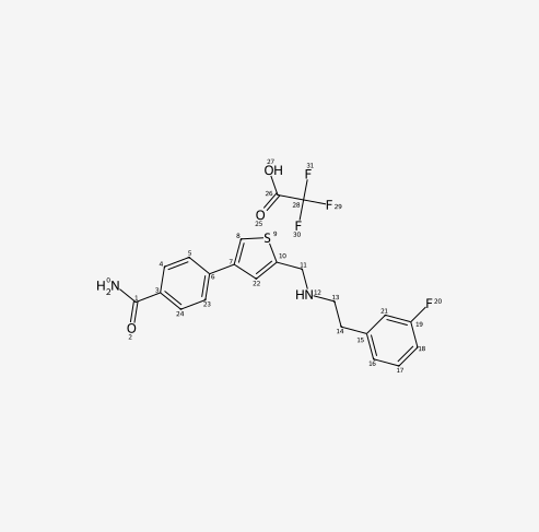 NC(=O)c1ccc(-c2csc(CNCCc3cccc(F)c3)c2)cc1.O=C(O)C(F)(F)F